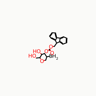 BC1COC(CO)C(O)[C@H]1OC(=O)OCC1c2ccccc2-c2ccccc21